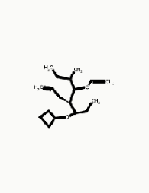 C=CC[C@H](C(CC)OC1CCC1)C(OC=C)C(C)CC